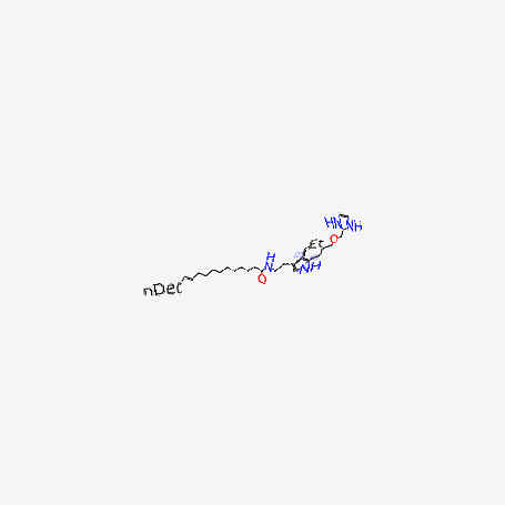 CC/C=c1/c(CCNC(=O)CCCCCCCCCCCCCCCCCCCCC)c[nH]/c1=C/CCOCC1NC=CN1